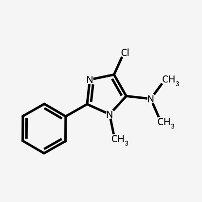 CN(C)c1c(Cl)nc(-c2ccccc2)n1C